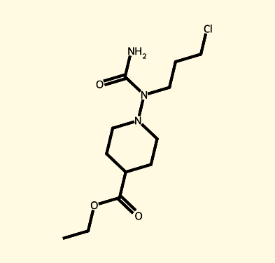 CCOC(=O)C1CCN(N(CCCCl)C(N)=O)CC1